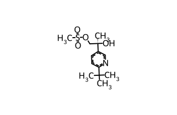 CC(C)(C)c1ccc([C@](C)(O)COS(C)(=O)=O)cn1